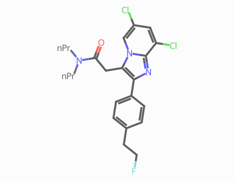 CCCN(CCC)C(=O)Cc1c(-c2ccc(CCF)cc2)nc2c(Cl)cc(Cl)cn12